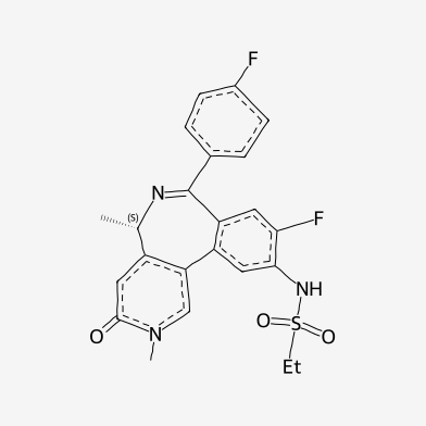 CCS(=O)(=O)Nc1cc2c(cc1F)C(c1ccc(F)cc1)=N[C@@H](C)c1cc(=O)n(C)cc1-2